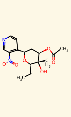 CC[C@H]1O[C@@H](c2ccncc2[N+](=O)[O-])C[C@@H](OC(C)=O)[C@]1(C)O